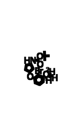 [2H]C([2H])([2H])Oc1cccc(O[C@@H]2CC[C@H](NC(=O)OC(C)(C)C)C2)c1Br